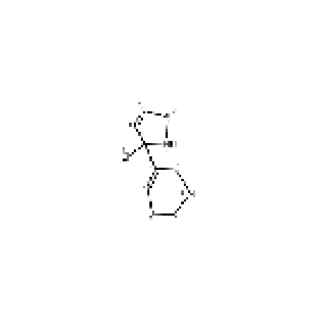 ClC1(C2=CCCNC2)C=NSN1